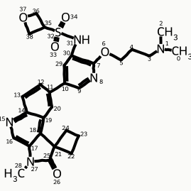 CN(C)CCCOc1ncc(-c2ccc3ncc4c(c3c2)C2(CCC2)C(=O)N4C)cc1NS(=O)(=O)C1COC1